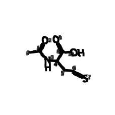 CC(=O)NC(CC=S)C(=O)O